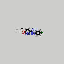 COc1ccc(C(=N)Nc2ccc(F)cc2)cn1